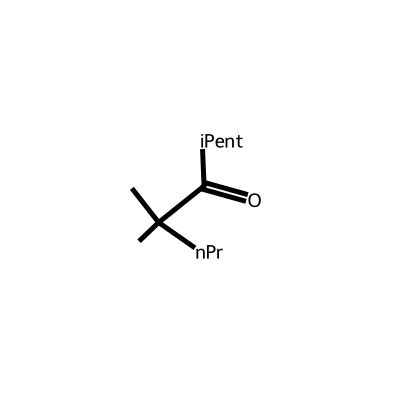 CCCC(C)C(=O)C(C)(C)CCC